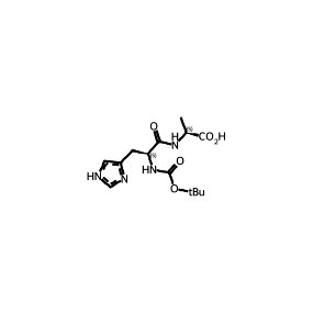 C[C@H](NC(=O)[C@H](Cc1c[nH]cn1)NC(=O)OC(C)(C)C)C(=O)O